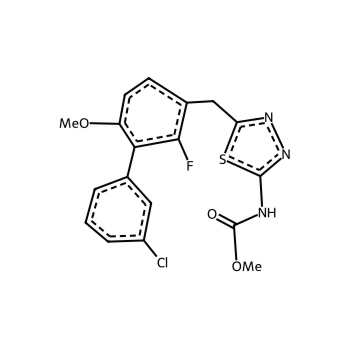 COC(=O)Nc1nnc(Cc2ccc(OC)c(-c3cccc(Cl)c3)c2F)s1